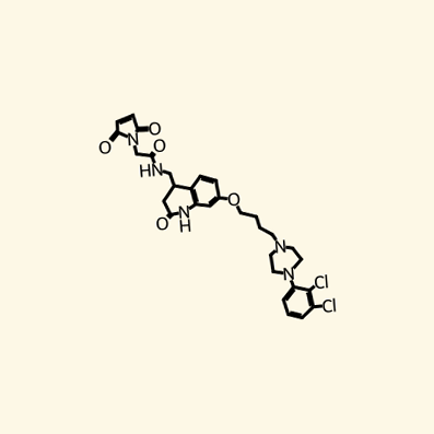 O=C(CN1C(=O)C=CC1=O)NCC1CC(=O)Nc2cc(OCCCCN3CCN(c4cccc(Cl)c4Cl)CC3)ccc21